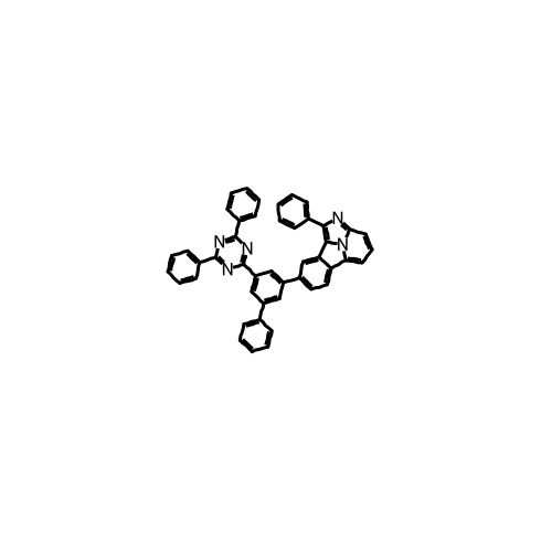 c1ccc(-c2cc(-c3ccc4c(c3)c3c(-c5ccccc5)nc5cccc4n53)cc(-c3nc(-c4ccccc4)nc(-c4ccccc4)n3)c2)cc1